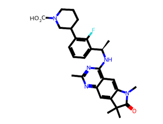 Cc1nc(N[C@H](C)c2cccc(C3CCCN(C(=O)O)C3)c2F)c2cc3c(cc2n1)C(C)(C)C(=O)N3C